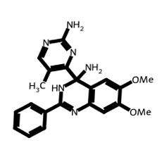 COc1cc2c(cc1OC)C(N)(c1nc(N)ncc1C)NC(c1ccccc1)=N2